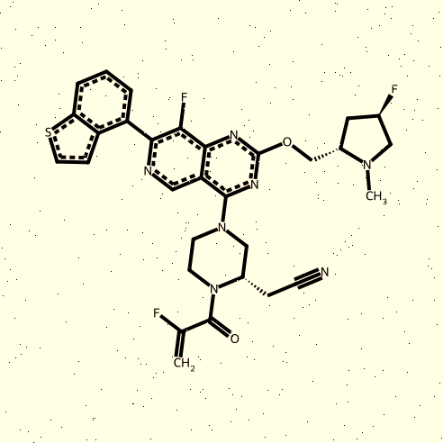 C=C(F)C(=O)N1CCN(c2nc(OC[C@@H]3C[C@@H](F)CN3C)nc3c(F)c(-c4cccc5sccc45)ncc23)C[C@@H]1CC#N